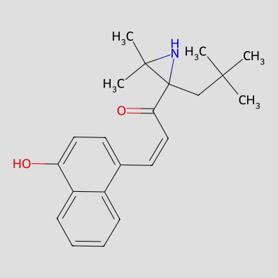 CC(C)(C)CC1(C(=O)/C=C\c2ccc(O)c3ccccc23)NC1(C)C